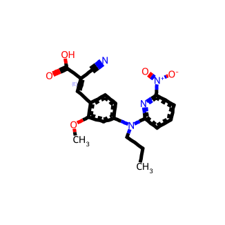 CCCN(c1ccc(/C=C(\C#N)C(=O)O)c(OC)c1)c1cccc([N+](=O)[O-])n1